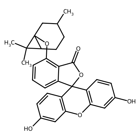 CC1CCC2C(C)(C)C2(Oc2cccc3c2C(=O)OC32c3ccc(O)cc3Oc3cc(O)ccc32)C1